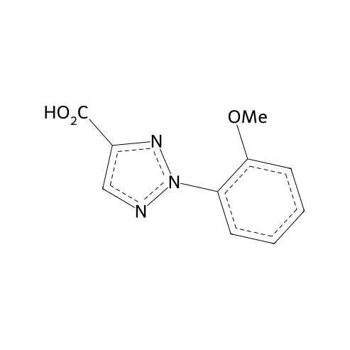 COc1ccccc1-n1ncc(C(=O)O)n1